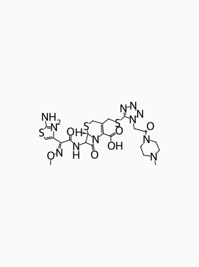 CON=C(C(=O)NC1C(=O)N2C(C(=O)O)=C(CSc3nnnn3CC(=O)N3CCN(C)CC3)CS[C@@H]12)c1csc(N)n1